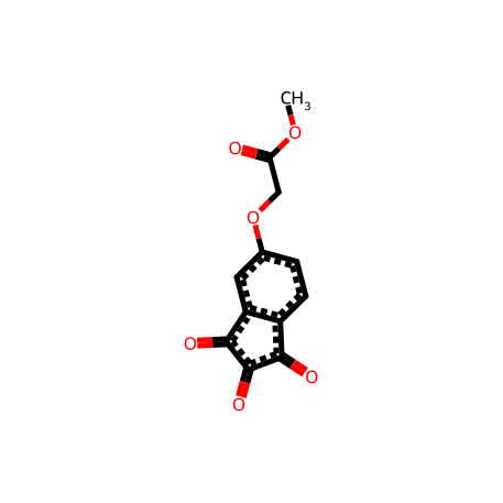 COC(=O)COc1ccc2c(=O)c(=O)c(=O)c2c1